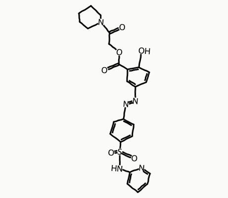 O=C(OCC(=O)N1CCCCC1)c1cc(N=Nc2ccc(S(=O)(=O)Nc3ccccn3)cc2)ccc1O